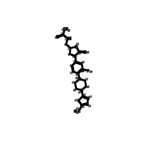 CC(=O)NCC1CN(c2ccc(N3CCN(c4nnc(C)s4)CC3)c(F)c2)C(=O)O1